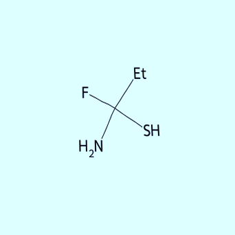 CCC(N)(F)S